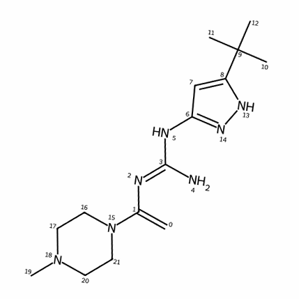 C=C(/N=C(\N)Nc1cc(C(C)(C)C)[nH]n1)N1CCN(C)CC1